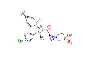 CCc1c(C(=O)NN2CCS(O)(O)CC2)nn(-c2ccc(F)cc2Cl)c1-c1ccc(Br)cc1